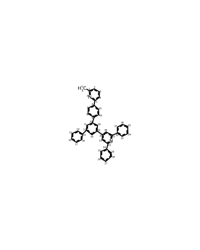 Cc1cccc(-c2ccc(-c3cc(-c4ccccc4)cc(-c4cc(-c5ccccc5)nc(-c5ccccc5)c4)c3)cc2)n1